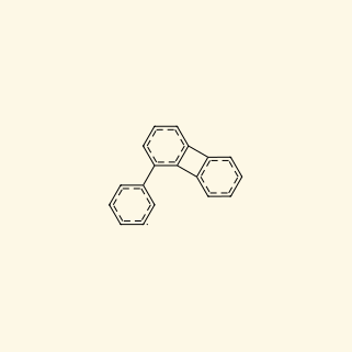 [c]1cccc(-c2cccc3c2-c2ccccc2-3)c1